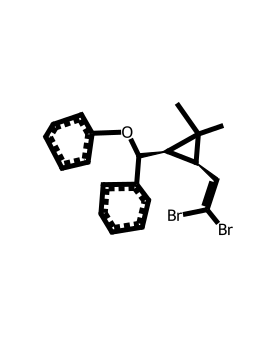 CC1(C)[C@H](C(Oc2ccccc2)c2ccccc2)[C@@H]1C=C(Br)Br